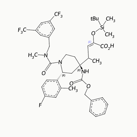 Cc1cc(F)ccc1[C@H]1C[C@@](NC(=O)OCc2ccccc2)(C(C)/C=C(/O[Si](C)(C)C(C)(C)C)C(=O)O)CCN1C(=O)N(C)Cc1cc(C(F)(F)F)cc(C(F)(F)F)c1